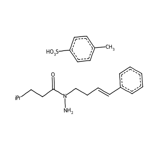 CC(C)CCC(=O)N(N)CCC=Cc1ccccc1.Cc1ccc(S(=O)(=O)O)cc1